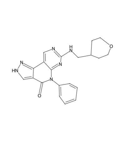 O=c1c2c[nH]nc2c2cnc(NCC3CCOCC3)nc2n1-c1ccccc1